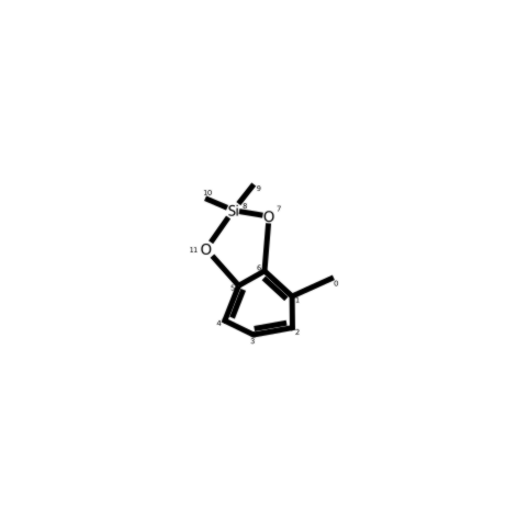 Cc1cccc2c1O[Si](C)(C)O2